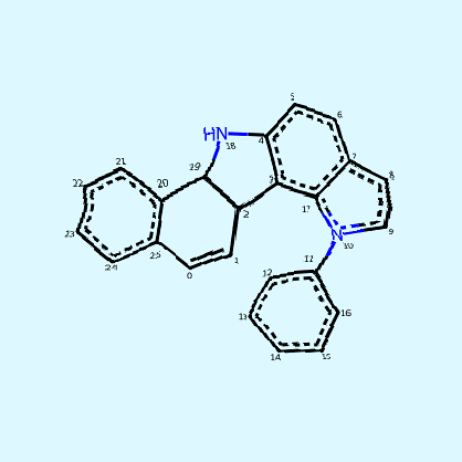 C1=CC2c3c(ccc4ccn(-c5ccccc5)c34)NC2c2ccccc21